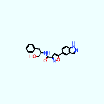 O=C(N[C@@H](CO)Cc1ccccc1)c1cc(-c2ccc3[nH]ncc3c2)on1